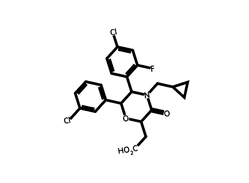 O=C(O)CC1OC(c2cccc(Cl)c2)C(c2ccc(Cl)cc2F)N(CC2CC2)C1=O